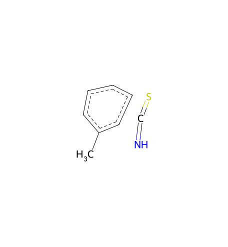 Cc1ccccc1.N=C=S